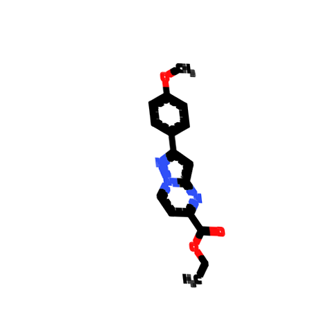 CCOC(=O)c1ccn2nc(-c3ccc(OC)cc3)cc2n1